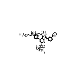 COCCN(C)c1ccc(-c2cc(C(=O)NS(C)(=O)=O)nc3c2c(C(C)C)nn3-c2cccc(N3CCCC3)c2)cc1